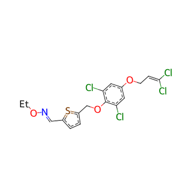 CCON=Cc1ccc(COc2c(Cl)cc(OCC=C(Cl)Cl)cc2Cl)s1